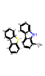 CC(C)(C)c1cccc2c1[nH]c1ccccc12.c1ccc2c(c1)sc1ccccc12